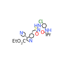 CCOC(=O)c1cnc2ccc(C=C3SC(Nc4cc(NC(=O)C(C)C)ccc4Cl)=NC3=O)cc2c1-c1ccncc1